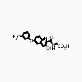 O=C(O)CNC(=O)c1nc2ccc(Oc3cccc(C(F)(F)F)c3)cc2cc1O